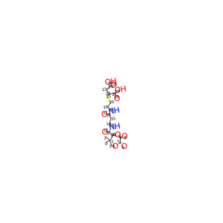 CC1(C)COC(=O)C(=O)O[C@H]1C(=O)NCCC(=O)NCCSC(CC(=O)O)C(=O)O